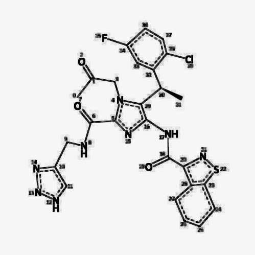 CC(=O)Cn1c(C(=O)NCc2c[nH]nn2)nc(NC(=O)c2nsc3ccccc23)c1[C@H](C)c1cc(F)ccc1Cl